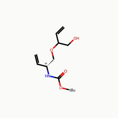 C=CC(CO)OC[C@@H](C=C)NC(=O)OC(C)(C)C